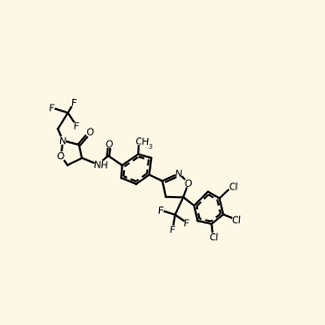 Cc1cc(C2=NOC(c3cc(Cl)c(Cl)c(Cl)c3)(C(F)(F)F)C2)ccc1C(=O)NC1CON(CC(F)(F)F)C1=O